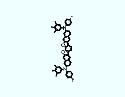 Cc1cc(N(c2ccc(F)cc2)c2ccc3cc4c(cc3c2)oc2c4ccc3c4cc5ccc(N(c6ccc(F)cc6)c6cc(C)c(C)c(C)c6)cc5cc4oc32)cc(C)c1C